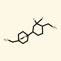 CCC1CCC(C23CCC(CC)(CC2)CC3)CC1(F)F